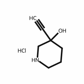 C#CC1(O)CCCNC1.Cl